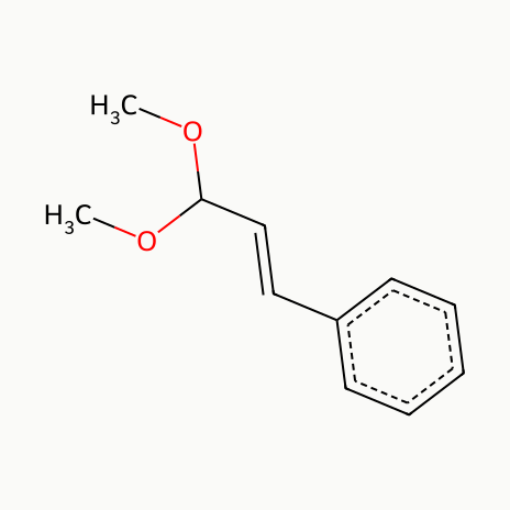 COC(C=Cc1ccccc1)OC